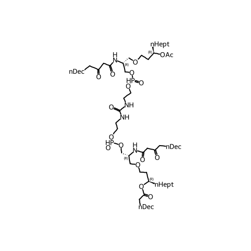 CCCCCCCCCCCC(=O)CC(=O)N[C@H](COCC[C@@H](CCCCCCC)OC(C)=O)CO[PH](=O)OCCNC(=O)NCCO[PH](=O)OC[C@@H](COCC[C@@H](CCCCCCC)OC(=O)CCCCCCCCCCC)NC(=O)CC(=O)CCCCCCCCCCC